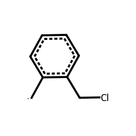 [CH2]c1ccccc1CCl